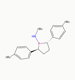 CCCCNP1[C@H](c2ccc(CCCC)cc2)CC[C@H]1c1ccc(CCCC)cc1